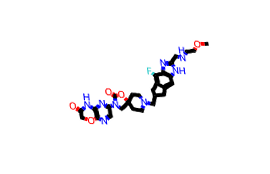 COCCNCc1nc2c(F)c3c(cc2[nH]1)CC(CN1CCC2(CC1)CN(c1cnc4c(n1)NC(=O)CO4)C(=O)O2)C3